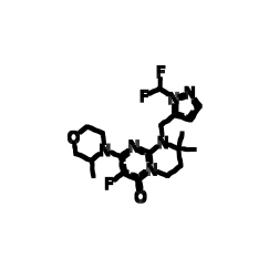 CC1COCCN1c1nc2n(c(=O)c1F)CCC(C)(C)N2Cc1ccnn1C(F)F